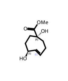 COC(=O)[C@@]1(O)CC/C=C/[C@@H](O)CC1